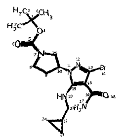 CC(C)(C)OC(=O)N1CC[C@H](n2nc(Br)c(C(N)=O)c2NCC2CC2)C1